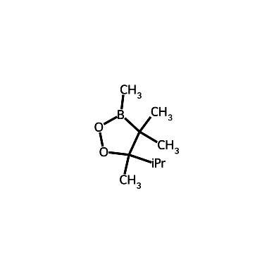 CB1OOC(C)(C(C)C)C1(C)C